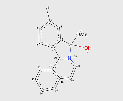 COC1(O)c2cc(C)ccc2-c2c3ccccc3cc[n+]21